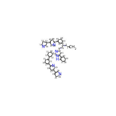 C=C/C=C(\C=C\C1=NC(c2cccc(-c3cccc(-c4ccc(-c5cccnc5)cn4)c3)c2)NC(c2ccccc2)=C1)c1cccc(-c2ccc(-c3cccnc3)cn2)c1